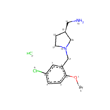 CC(C)Oc1ccc(Cl)cc1CN1CC[C@@H](CN)C1.Cl